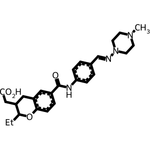 CCC1Oc2ccc(C(=O)Nc3ccc(C=NN4CCN(C)CC4)cc3)cc2CC1CC(=O)O